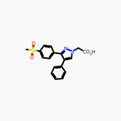 CS(=O)(=O)c1ccc(-c2nn(CC(=O)O)cc2-c2ccccc2)cc1